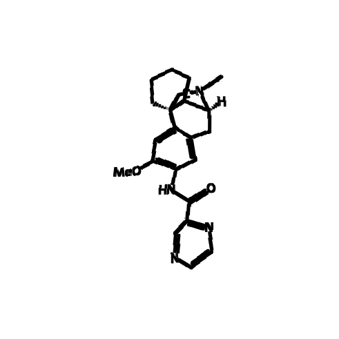 COc1cc2c(cc1NC(=O)c1cnccn1)C[C@H]1C3CCCC[C@@]23CCN1C